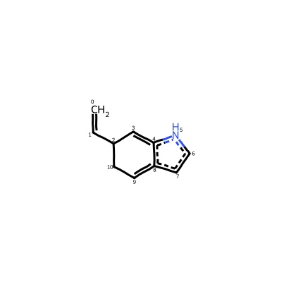 C=CC1C=c2[nH]ccc2=CC1